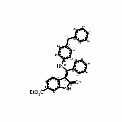 CCOC(=O)c1ccc2c(c1)NC(=O)C2=C(Nc1ccc(Cc2ccccc2)cc1)c1ccccc1